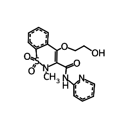 CN1C(C(=O)Nc2ccccn2)=C(OCCO)c2ccccc2S1(=O)=O